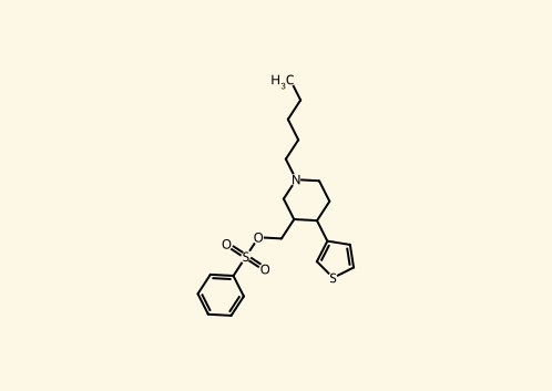 CCCCCN1CCC(c2ccsc2)C(COS(=O)(=O)c2ccccc2)C1